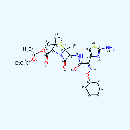 CCOC(=O)O[C@H](C)OC(=O)[C@@H]1N2C(=O)[C@H](NC(=O)/C(=N\OC3CCCCC3)c3csc(N)n3)[C@H]2SC1(C)C